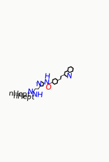 CCCCCCC/N=C(/CCc1cc(NC(=O)c2ccc(/C=C/c3cnc4ccccc4c3)cc2)cn1C)NCCCCCCC